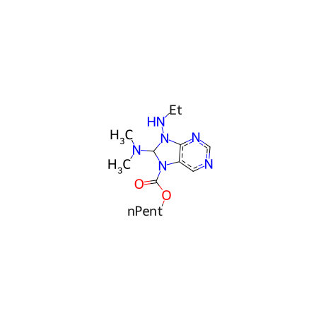 CCCCCOC(=O)N1c2cncnc2N(NCC)C1N(C)C